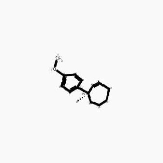 C[C@]1(c2ccc(OC(F)(F)F)cc2)C=CCCCC1